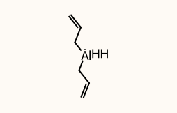 C=C[CH2][Al][CH2]C=C.[HH]